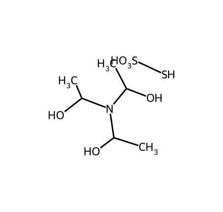 CC(O)N(C(C)O)C(C)O.O=S(=O)(O)S